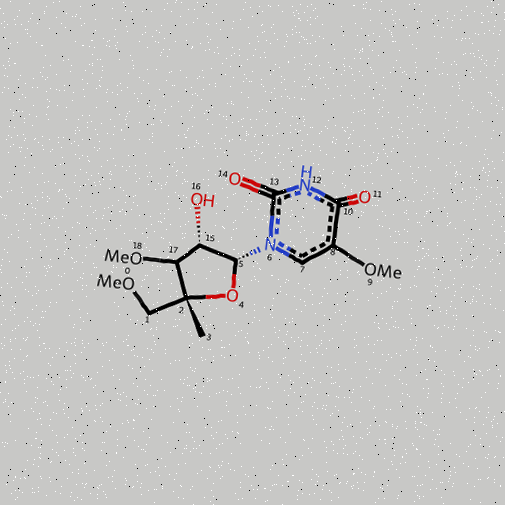 COC[C@@]1(C)O[C@@H](n2cc(OC)c(=O)[nH]c2=O)[C@@H](O)C1OC